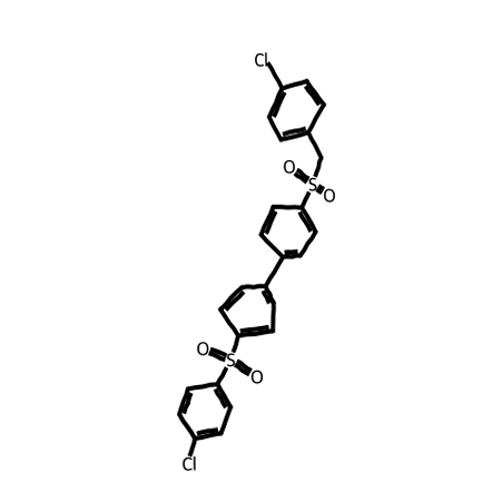 O=S(=O)(Cc1ccc(Cl)cc1)c1ccc(-c2ccc(S(=O)(=O)c3ccc(Cl)cc3)cc2)cc1